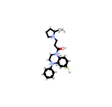 CC1CCCN1CCC(=O)N1CCN(c2ccccc2)c2cc(F)ccc21